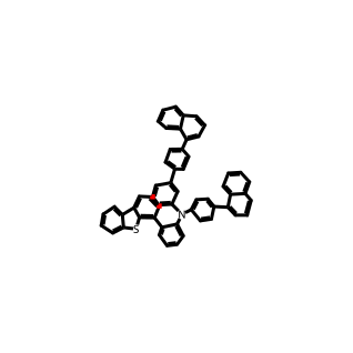 c1cc(-c2ccc(-c3cccc4ccccc34)cc2)cc(N(c2ccc(-c3cccc4ccccc34)cc2)c2ccccc2-c2cccc3c2sc2ccccc23)c1